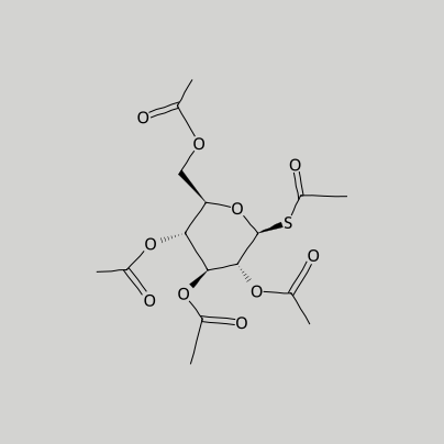 CC(=O)OC[C@H]1O[C@@H](SC(C)=O)[C@H](OC(C)=O)[C@@H](OC(C)=O)[C@@H]1OC(C)=O